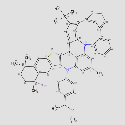 CCC(C)c1ccc(N2c3cc(C)cc4c3B(c3sc5cc6c(cc5c32)C(C)(I)CCC6(C)C)c2cc(C(C)(C)C)c3cc2n-4c2ccccc2c2cc3CCC=2)cc1